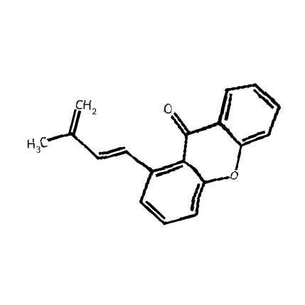 C=C(C)C=Cc1cccc2oc3ccccc3c(=O)c12